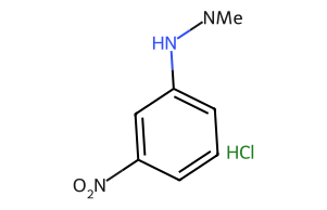 CNNc1cccc([N+](=O)[O-])c1.Cl